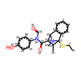 CCSC12c3ccccc3C(C(C(=O)N(C=O)c3ccc(O)cc3)C1C)N2C